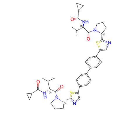 CC(C)[C@@H](NC(=O)C1CC1)C(=O)N1CCC[C@H]1c1ncc(-c2ccc(-c3ccc(-c4cnc([C@@H]5CCCN5C(=O)[C@H](NC(=O)C5CC5)C(C)C)s4)cc3)cc2)s1